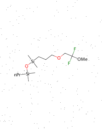 CCC[Si](C)(C)O[Si](C)(C)CCCOCC(F)(F)OC